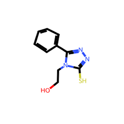 OCCn1c(S)nnc1-c1ccccc1